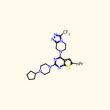 CCCc1cc2c(N3CCn4c(nnc4C(F)(F)F)C3)nc(N3CCN(C4CCCC4)CC3)nc2s1